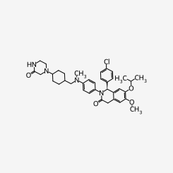 COc1cc2c(cc1OC(C)C)[C@H](c1ccc(Cl)cc1)N(c1ccc(N(C)CC3CCC(N4CCNC(=O)C4)CC3)cc1)C(=O)C2